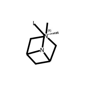 C[C@@H](I)N1C2CC1CN(C)C2